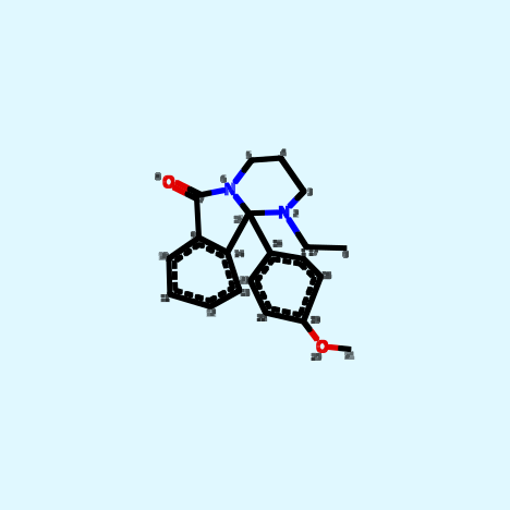 CCN1CCCN2C(=O)c3ccccc3C12c1ccc(OC)cc1